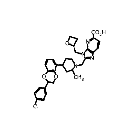 CC1CC(c2cccc3c2OCC(c2ccc(Cl)cc2)O3)CCN1Cc1nc2ccc(C(=O)O)nc2n1C[C@@H]1CCO1